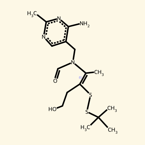 C/C(=C(/CCO)SSC(C)(C)C)N(C=O)Cc1cnc(C)nc1N